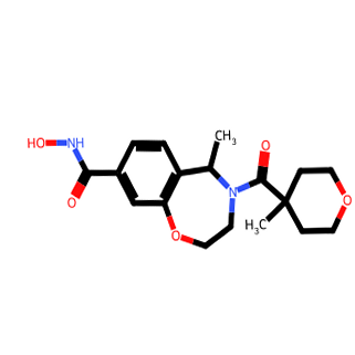 CC1c2ccc(C(=O)NO)cc2OCCN1C(=O)C1(C)CCOCC1